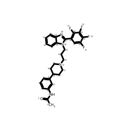 CC(=O)Nc1cccc(C2CCN(CCCn3c(-c4cc(F)c(F)c(F)c4F)nc4ccccc43)CC2)c1